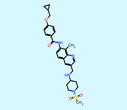 Cc1c(NC(=O)c2ccc(OCC3CC3)cc2)ccc2cc(CNC3CCN(S(C)(=O)=O)CC3)cnc12